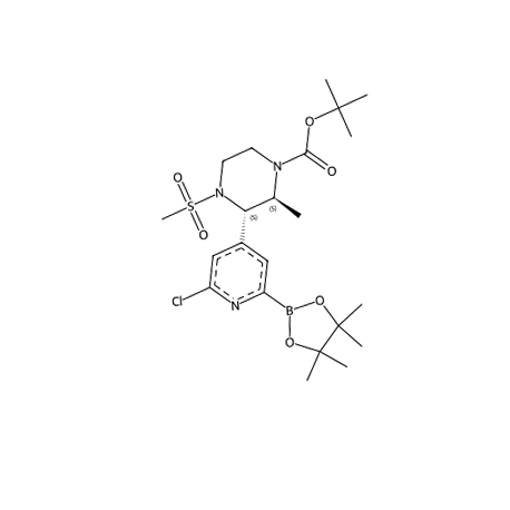 C[C@H]1[C@H](c2cc(Cl)nc(B3OC(C)(C)C(C)(C)O3)c2)N(S(C)(=O)=O)CCN1C(=O)OC(C)(C)C